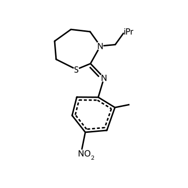 Cc1cc([N+](=O)[O-])ccc1N=C1SCCCCN1CC(C)C